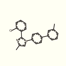 Cc1cccc(-c2ccc(-n3cc(C)nc3-c3ccccc3Cl)cc2)c1